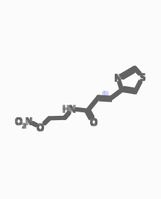 O=C(/C=C/c1cscn1)NCCO[N+](=O)[O-]